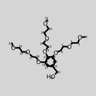 COCCOCCOc1cc(CO)cc(OCCOCCOC)c1OCCOCCOC